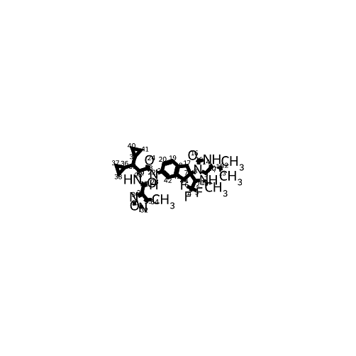 CNC(C(F)(F)F)C1(N2C[C@@H](C(C)C)NC2=O)Cc2ccc(NC(=O)[C@@H](NC(=O)c3nonc3C)C(C3CC3)C3CC3)cc2C1